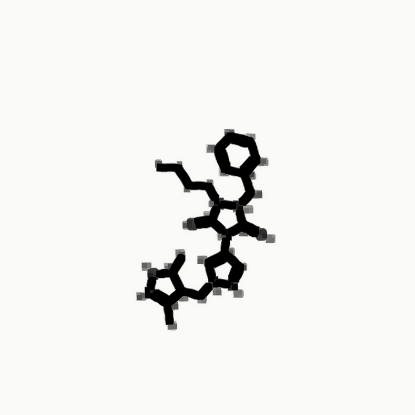 CCCCn1c(=O)n(-c2cnn(CC3C(C)=NOC3C)c2)c(=O)n1Cc1ccccc1